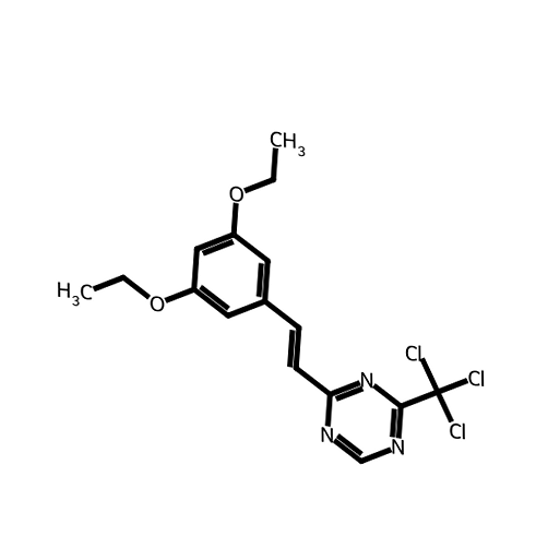 CCOc1cc(C=Cc2ncnc(C(Cl)(Cl)Cl)n2)cc(OCC)c1